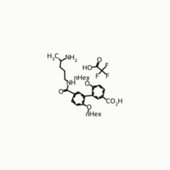 CCCCCCOc1ccc(C(=O)O)cc1-c1cc(C(=O)NCCCC(C)N)ccc1OCCCCCC.O=C(O)C(F)(F)F